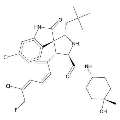 C=C(/C=C\C=C(\Cl)CF)[C@H]1[C@H](C(=O)N[C@H]2CC[C@@](C)(O)CC2)N[C@@H](CC(C)(C)C)[C@@]12C(=O)Nc1cc(Cl)ccc12